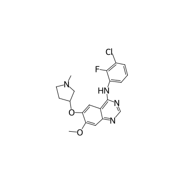 COc1cc2ncnc(Nc3cccc(Cl)c3F)c2cc1OC1CCN(C)C1